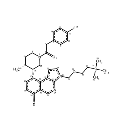 C[C@@H]1CCN(C(=O)Cc2ccc(F)cc2)C[C@@H]1n1ccc(=O)c2cnc3c(ccn3COCC[Si](C)(C)C)c21